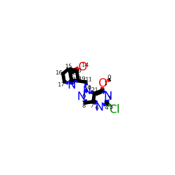 COc1nc(Cl)nc2cnn(CC3C(=O)C4CCN3CC4)c12